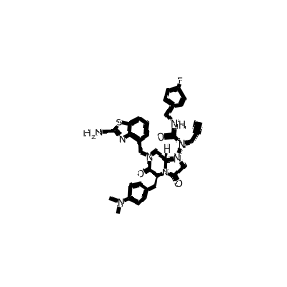 C#CCN(C(=O)NCc1ccc(F)cc1)N1CC(=O)N2[C@@H](Cc3ccc(N(C)C)cc3)C(=O)N(Cc3cccc4sc(N)nc34)C[C@@H]21